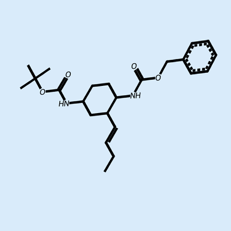 CCC=CC1CC(NC(=O)OC(C)(C)C)CCC1NC(=O)OCc1ccccc1